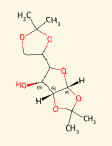 CC1(C)OCC(C2O[C@@H]3OC(C)(C)O[C@@H]3[C@H]2O)O1